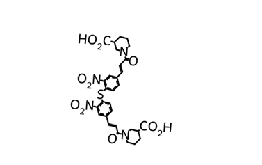 O=C(O)C1CCCN(C(=O)/C=C/c2ccc(Sc3ccc(/C=C/C(=O)N4CCCC(C(=O)O)C4)cc3[N+](=O)[O-])c([N+](=O)[O-])c2)C1